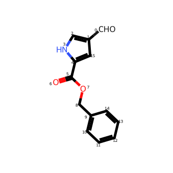 O=Cc1c[nH]c(C(=O)OCc2ccccc2)c1